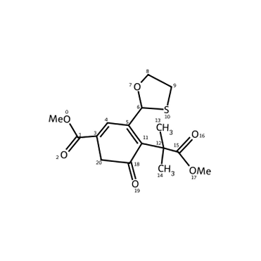 COC(=O)C1=CC(C2OCCS2)=C(C(C)(C)C(=O)OC)C(=O)C1